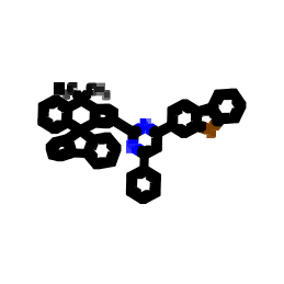 CC1(C)c2ccccc2C2(c3ccccc3-c3ccccc32)c2cc(-c3nc(-c4ccccc4)cc(-c4ccc5c(c4)sc4ccccc45)n3)ccc21